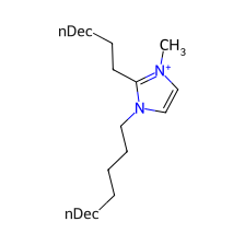 CCCCCCCCCCCCCCn1cc[n+](C)c1CCCCCCCCCCCC